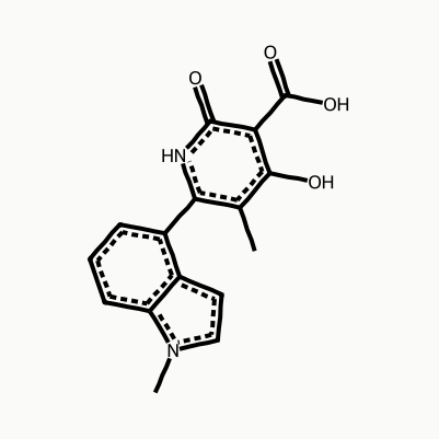 Cc1c(-c2cccc3c2ccn3C)[nH]c(=O)c(C(=O)O)c1O